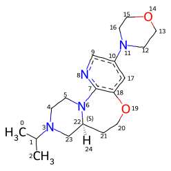 CC(C)N1CCN2c3ncc(N4CCOCC4)cc3OCC[C@H]2C1